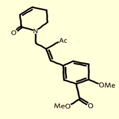 COC(=O)c1cc(/C=C(/CN2CCC=CC2=O)C(C)=O)ccc1OC